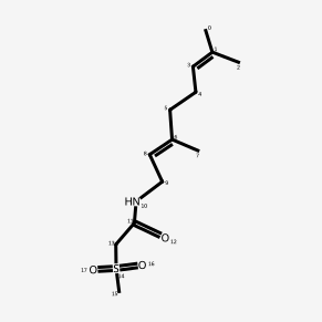 CC(C)=CCC/C(C)=C/CNC(=O)CS(C)(=O)=O